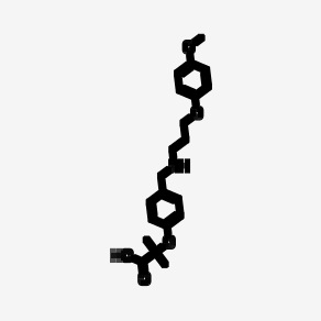 COc1ccc(OCCCNCc2ccc(OC(C)(C)C(=O)O)cc2)cc1